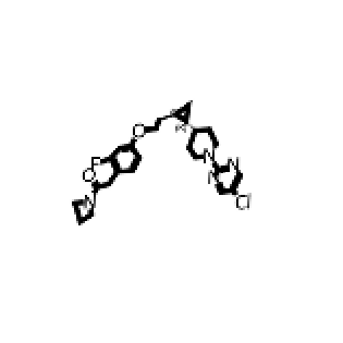 O=C(Cc1ccc(OCC[C@H]2C[C@@H]2C2CCN(c3ncc(Cl)cn3)CC2)cc1F)N1CCC1